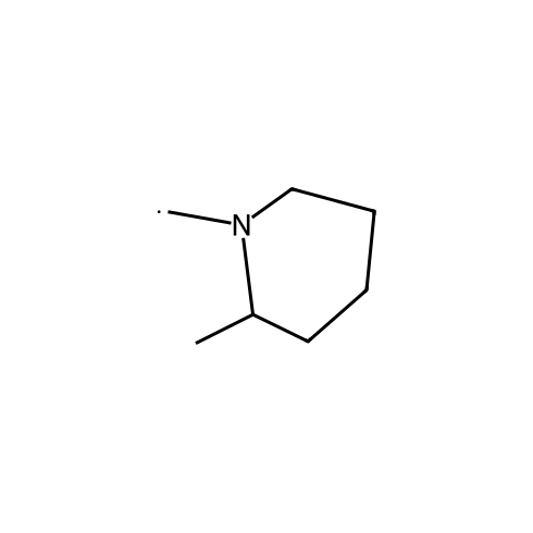 [CH2]N1CCCCC1C